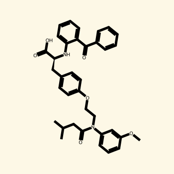 COc1cccc(N(CCOc2ccc(C[C@H](Nc3ccccc3C(=O)c3ccccc3)C(=O)O)cc2)C(=O)CC(C)C)c1